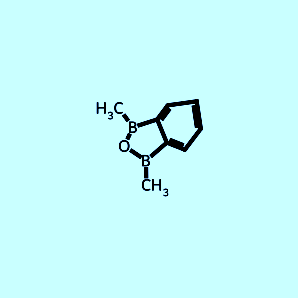 CB1OB(C)c2ccccc21